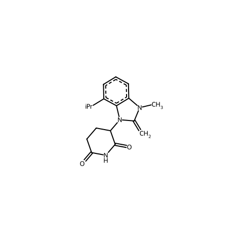 C=C1N(C)c2cccc(C(C)C)c2N1C1CCC(=O)NC1=O